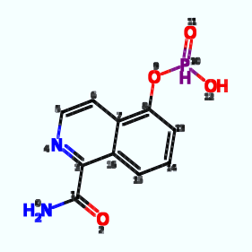 NC(=O)c1nccc2c(O[PH](=O)O)cccc12